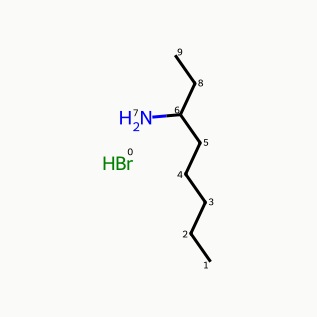 Br.CCCCCC(N)CC